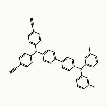 C#Cc1ccc(N(c2ccc(C#C)cc2)c2ccc(-c3ccc(N(c4cccc(C)c4)c4cccc(C)c4)cc3)cc2)cc1